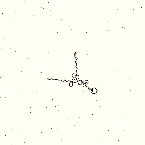 CCCCCCCCCCCC(=O)OCC1(COC(=O)CCCCCCCCCCC)CCN(C(=O)CCCN2CCCCCC2)CC1